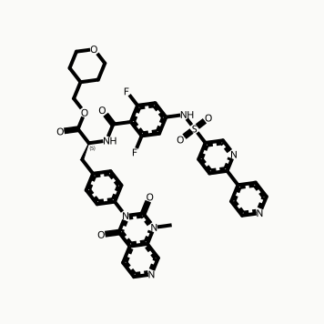 Cn1c(=O)n(-c2ccc(C[C@H](NC(=O)c3c(F)cc(NS(=O)(=O)c4ccc(-c5ccncc5)nc4)cc3F)C(=O)OCC3CCOCC3)cc2)c(=O)c2ccncc21